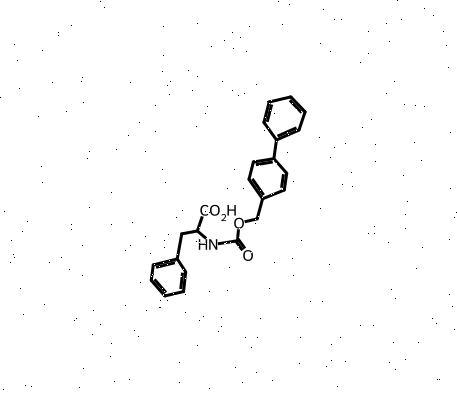 O=C(NC(Cc1ccccc1)C(=O)O)OCc1ccc(-c2ccccc2)cc1